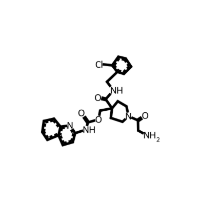 NCC(=O)N1CCC(COC(=O)Nc2ccc3ccccc3n2)(C(=O)NCc2ccccc2Cl)CC1